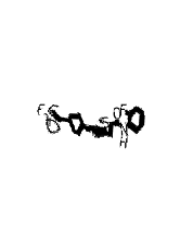 O=C(Nc1ccccc1F)c1ccc(-c2ccc(C(=O)C(F)(F)F)cc2)s1